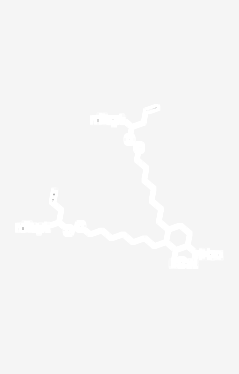 C=CCC(CCCCCCC)OOCCCCCCCC1CCC(CCCCCC)C(CCCCCCCC)C1CCCCCCCOOC(CC=C)CCCCCCC